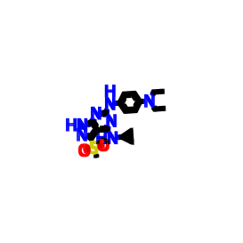 CCN(CC)c1ccc(Nc2nc(NC3CC3)c3c(S(C)(=O)=O)n[nH]c3n2)cc1